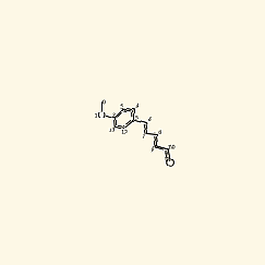 COc1ccc(C=CC=CC=O)cc1